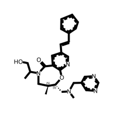 CC(CO)N1C[C@H](C)[C@@H](CN(C)Cc2cncnc2)Oc2ncc(C=Cc3ccccc3)cc2C1=O